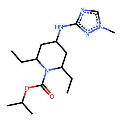 CCC1CC(Nc2ncn(C)n2)CC(CC)N1C(=O)OC(C)C